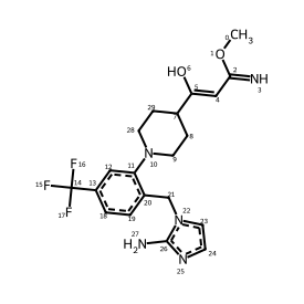 COC(=N)/C=C(\O)C1CCN(c2cc(C(F)(F)F)ccc2Cn2ccnc2N)CC1